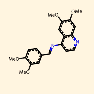 COc1ccc(/C=N/c2ccnc3cc(OC)c(OC)cc23)cc1OC